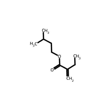 C=C(CC)C(=O)OCCC(C)C